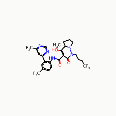 C[C@]12CCCN1N(CCCC(F)(F)F)C(=O)C(C(=O)Nc1ccc(C(F)(F)F)cc1-c1cc(C(F)(F)F)ncn1)=C2O